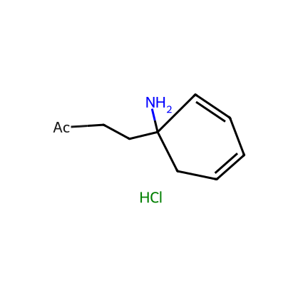 CC(=O)CCC1(N)C=CC=CC1.Cl